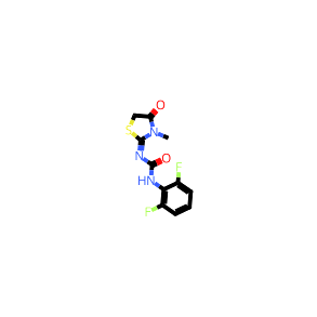 CN1C(=O)CSC1=NC(=O)Nc1c(F)cccc1F